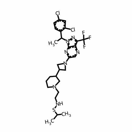 CC(C)SNCCN1CCCC(C2CN(c3cnc4c(C(F)(F)F)nn(C(C)c5ccc(Cl)cc5Cl)c4n3)C2)C1